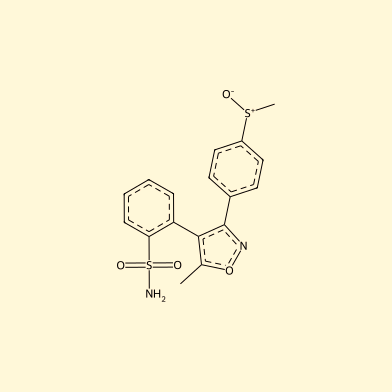 Cc1onc(-c2ccc([S+](C)[O-])cc2)c1-c1ccccc1S(N)(=O)=O